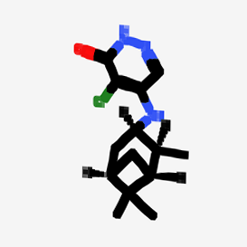 C[C@H]1[C@H]2C[C@H](C[C@H]1Nc1cn[nH]c(=O)c1Cl)C2(C)C